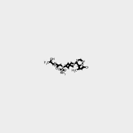 Cc1cc(Cl)n2ncnc(N3CC4(CC(N(CC(=O)NCC(O)C(F)(F)F)S(N)(=O)=O)C4)C3)c12